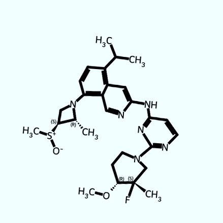 CO[C@@H]1CCN(c2nccc(Nc3cc4c(C(C)C)ccc(N5C[C@H]([S+](C)[O-])[C@H]5C)c4cn3)n2)C[C@]1(C)F